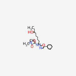 CC[C@H](O)CCCCC[C@H](NC(=O)C(=O)N(C)C)c1ncc(-c2ccccc2)o1